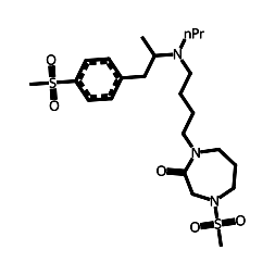 CCCN(CCCCN1CCCN(S(C)(=O)=O)CC1=O)C(C)Cc1ccc(S(C)(=O)=O)cc1